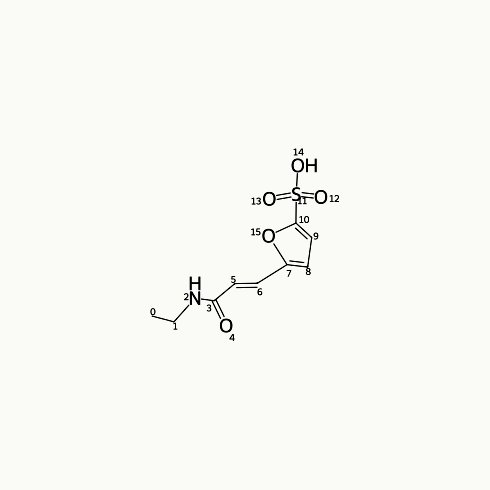 CCNC(=O)C=Cc1ccc(S(=O)(=O)O)o1